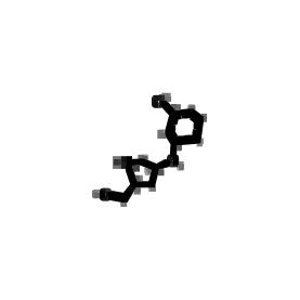 O=C[C@@H]1C[C@H](Oc2cccc(Cl)c2)CN1